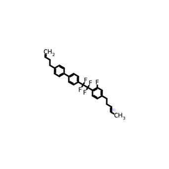 C=CCCc1ccc(-c2ccc(C(F)(F)C(F)(F)c3ccc(CC/C=C/C)cc3F)cc2)cc1